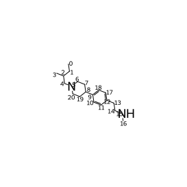 CCC(C)CN1CCC(c2ccc(CCNC)cc2)CC1